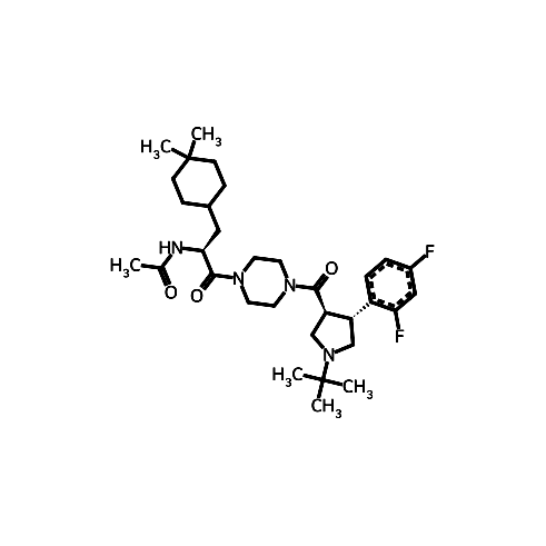 CC(=O)N[C@@H](CC1CCC(C)(C)CC1)C(=O)N1CCN(C(=O)[C@@H]2CN(C(C)(C)C)C[C@H]2c2ccc(F)cc2F)CC1